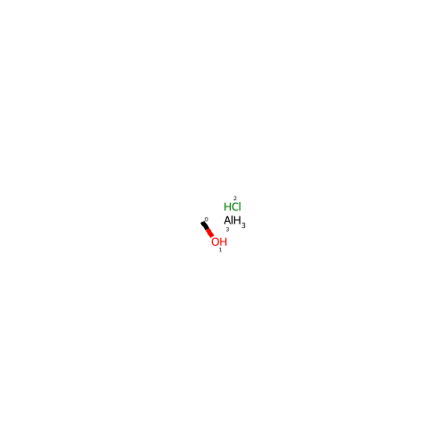 CO.Cl.[AlH3]